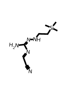 C[Si](C)(C)CCNN=C(N)N=CC#N